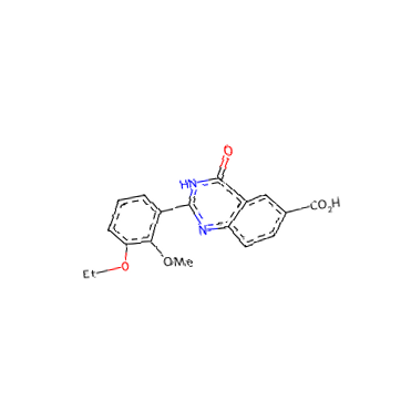 CCOc1cccc(-c2nc3ccc(C(=O)O)cc3c(=O)[nH]2)c1OC